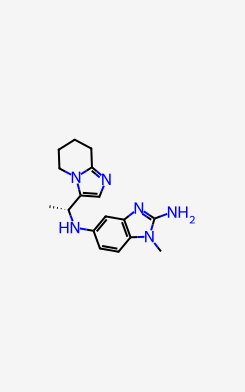 C[C@@H](Nc1ccc2c(c1)nc(N)n2C)c1cnc2n1CCCC2